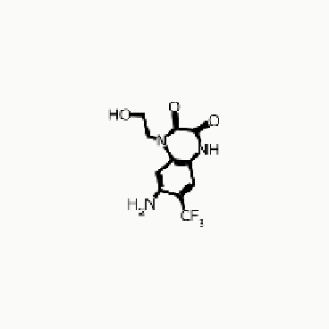 Nc1cc2c(cc1C(F)(F)F)[nH]c(=O)c(=O)n2CCO